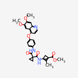 COC(=O)C12CC(NC(=O)C3(C(=O)Nc4ccc(Oc5ccnc6cc(OC)c(OC)cc56)cc4)CC3)(C1)C2C